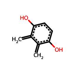 C=c1c(O)ccc(O)c1=C